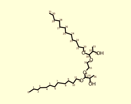 CCCCCCCCCCCCOC(OCCOC(OCCCCCCCCCCCC)C(C)O)C(C)O